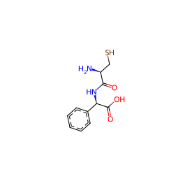 N[C@@H](CS)C(=O)N[C@@H](C(=O)O)c1ccccc1